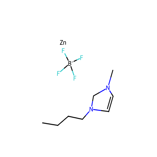 CCCCN1C=CN(C)C1.F[B-](F)(F)F.[Zn]